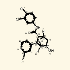 O=C(Nc1ccc(Cl)c(Cl)c1)[C@@H]1[C@H](c2ccnc(F)c2)[C@@H]2O[C@H]1C[C@H]2O